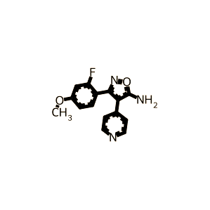 COc1ccc(-c2noc(N)c2-c2ccncc2)c(F)c1